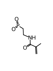 C=C(C)C(=O)NCCP(=O)=O